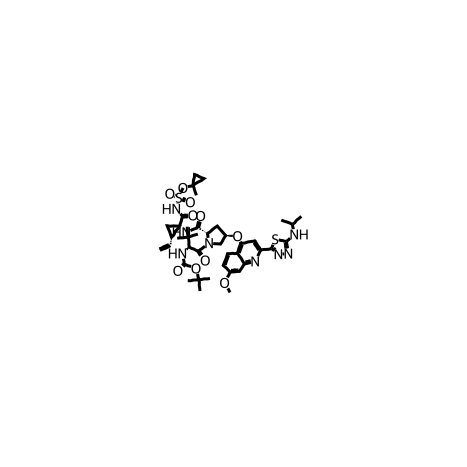 C=C[C@@H]1C[C@]1(NC(=O)[C@@H]1C[C@@H](Oc2cc(-c3nnc(NC(C)C)s3)nc3cc(OC)ccc23)CN1C(=O)[C@@H](NC(=O)OC(C)(C)C)C(C)(C)C)C(=O)NS(=O)(=O)OC1(C)CC1